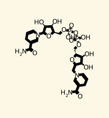 NC(=O)C1=CN(CC2O[C@H](COP(=O)(O)OP(=O)(O)OC[C@H]3OC(N4C=CCC(C(N)=O)=C4)[C@H](O)[C@@H]3O)[C@@H](O)[C@H]2O)C=CC1